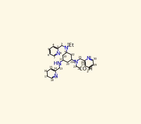 CCN(Cc1ccccn1)C1CC(NCC2=CCCC=N2)CC(N(CC(=O)O)Cc2ccccn2)C1